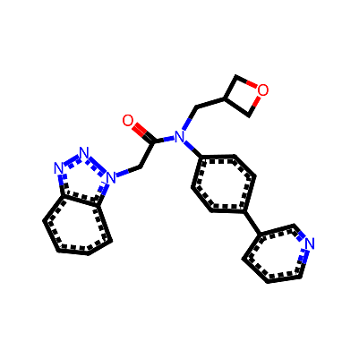 O=C(Cn1nnc2ccccc21)N(CC1COC1)c1ccc(-c2cccnc2)cc1